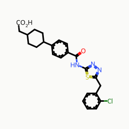 O=C(O)CC1CCC(c2ccc(C(=O)Nc3nnc(Cc4ccccc4Cl)s3)cc2)CC1